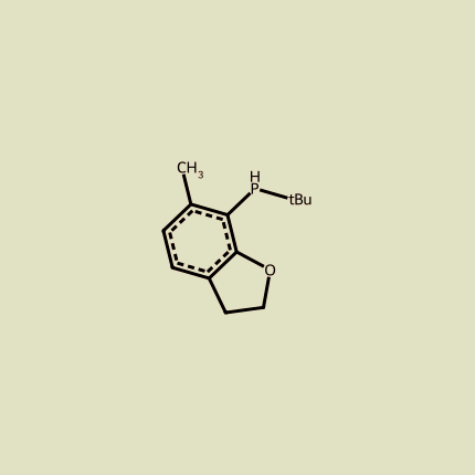 Cc1ccc2c(c1PC(C)(C)C)OCC2